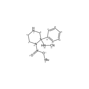 CC(C)(C)OC(=O)N1CCNCC1(NC#N)c1ccccc1